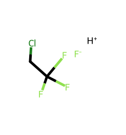 FC(F)(F)CCl.[F-].[H+]